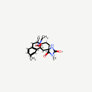 CCN1C(=O)N[C@]2(CC[C@@]3(O)[C@H]4Cc5ccc(C)cc5[C@@]3(CCN4C)C2)C1=O